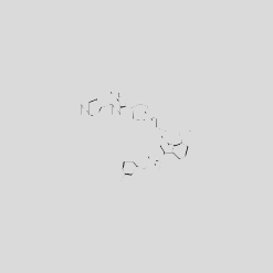 COc1cccc2c(C(=O)NCc3cccc(C)c3)cn(CCCN3CCC(c4nc(-c5ccncc5)no4)CC3)c12